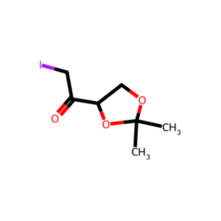 CC1(C)OCC(C(=O)CI)O1